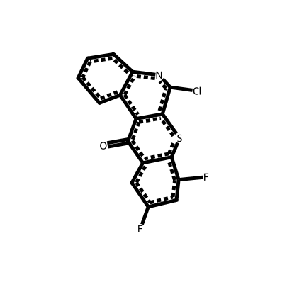 O=c1c2cc(F)cc(F)c2sc2c(Cl)nc3ccccc3c12